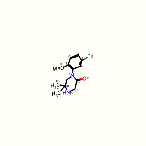 COc1ccc(Cl)cc1N1CC(C)(C)NCC1=O